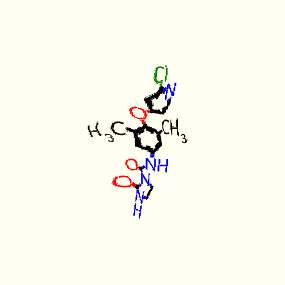 Cc1cc(NC(=O)N2CCNC2=O)cc(C)c1Oc1ccnc(Cl)c1